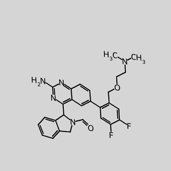 CN(C)CCOCc1cc(F)c(F)cc1-c1ccc2nc(N)nc(C3c4ccccc4CN3C=O)c2c1